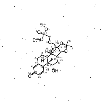 CCOP(=O)(COCC(O)[C@@]12OC(C)(C)O[C@@H]1C[C@H]1[C@@H]3CCC4=CC(=O)C=C[C@]4(C)[C@@]3(F)[C@@H](O)C[C@@]12C)OCC